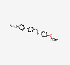 CCCCCCCCCCOc1ccc(/N=N/c2ccc(-c3ccc(OC)cc3)cc2)cc1